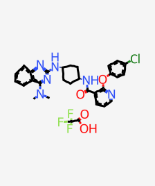 CN(C)c1nc(N[C@H]2CC[C@@H](NC(=O)c3cccnc3Oc3ccc(Cl)cc3)CC2)nc2ccccc12.O=C(O)C(F)(F)F